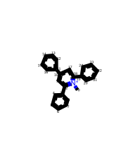 C[n+]1c(-c2ccccc2)cc(-c2ccccc2)cc1-c1ccccc1